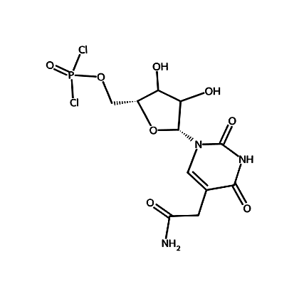 NC(=O)Cc1cn([C@@H]2O[C@H](COP(=O)(Cl)Cl)C(O)C2O)c(=O)[nH]c1=O